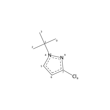 CC(C)(C)n1ccc(Cl)n1